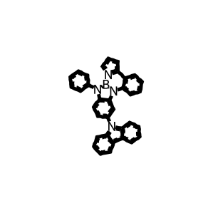 c1ccc(N2B3N(c4ccccc4-c4cccn43)c3cc(-n4c5ccccc5c5ccccc54)ccc32)cc1